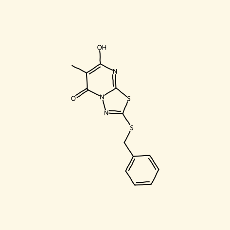 Cc1c(O)nc2sc(SCc3ccccc3)nn2c1=O